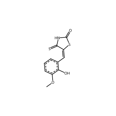 COc1cccc(C=C2SC(=O)NC2=S)c1O